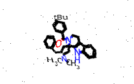 CN(C)CCC1(CCCc2ccccc2)c2[nH]c3ccccc3c2CCN1C(=O)c1ccc(C(C)(C)C)cc1